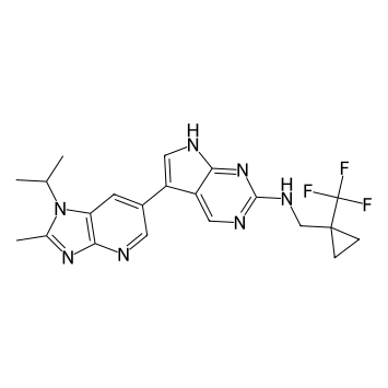 Cc1nc2ncc(-c3c[nH]c4nc(NCC5(C(F)(F)F)CC5)ncc34)cc2n1C(C)C